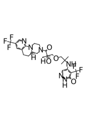 CC(C)(COC[C@](C)(O)C(=O)N1CCN2c3ncc(C(F)(F)F)cc3CC[C@@H]2C1)Nc1cn[nH]c(=O)c1C(F)(F)F